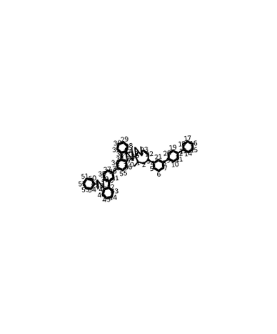 CC1CC(c2cccc(-c3ccc(-c4ccccc4)cc3)c2)C=CNC1n1c2ccccc2c2cc(-c3ccc4c(c3)c3ccccc3n4-c3ccccc3)ccc21